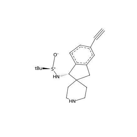 C#Cc1ccc2c(c1)CC1(CCNCC1)[C@@H]2N[S@+]([O-])C(C)(C)C